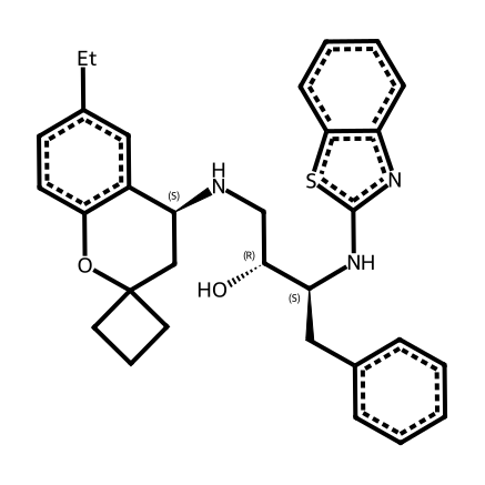 CCc1ccc2c(c1)[C@@H](NC[C@@H](O)[C@H](Cc1ccccc1)Nc1nc3ccccc3s1)CC1(CCC1)O2